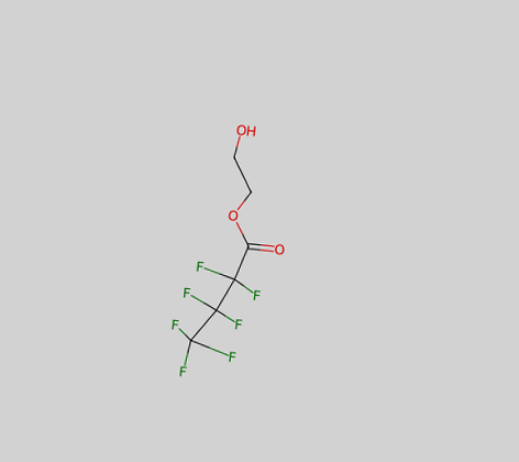 O=C(OCCO)C(F)(F)C(F)(F)C(F)(F)F